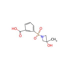 CC1(O)CN(S(=O)(=O)c2cccc(C(=O)O)c2)C1